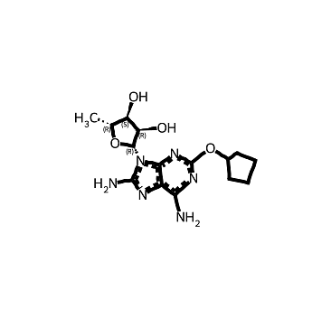 C[C@H]1O[C@@H](n2c(N)nc3c(N)nc(OC4CCCC4)nc32)[C@H](O)[C@@H]1O